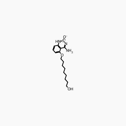 NC1=N[S+]([O-])Nc2cccc(OCCCCCCCCCO)c21